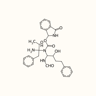 CC(O)C(N)(Cc1ccccc1)N(C(=O)OC1NC(=O)c2ccccc21)C(NC=O)C(O)CCc1ccccc1